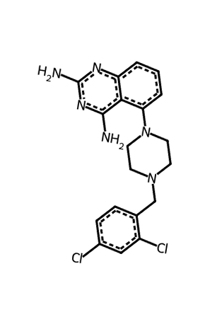 Nc1nc(N)c2c(N3CCN(Cc4ccc(Cl)cc4Cl)CC3)cccc2n1